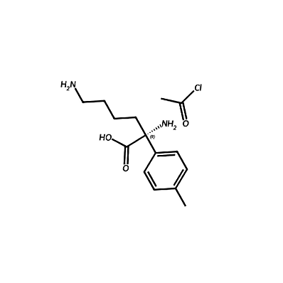 CC(=O)Cl.Cc1ccc([C@](N)(CCCCN)C(=O)O)cc1